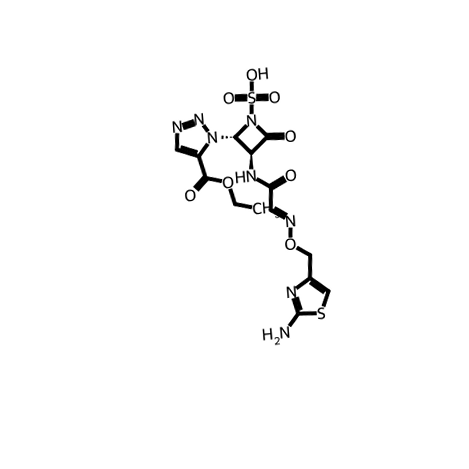 CCOC(=O)c1cnnn1[C@H]1[C@H](NC(=O)C=NOCc2csc(N)n2)C(=O)N1S(=O)(=O)O